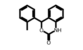 Cc1ccccc1C1OC(=O)Nc2ccccc21